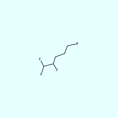 FCCCC(F)C(F)F